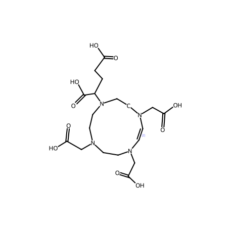 O=C(O)CCC(C(=O)O)N1CCN(CC(=O)O)/C=C\N(CC(=O)O)CCN(CC(=O)O)CC1